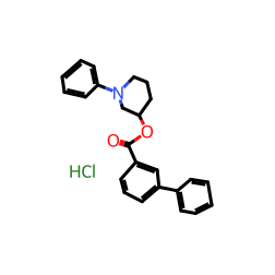 Cl.O=C(OC1CCCN(c2ccccc2)C1)c1cccc(-c2ccccc2)c1